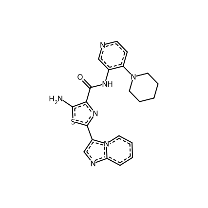 Nc1sc(-c2cnc3ccccn23)nc1C(=O)Nc1cnccc1N1CCCCC1